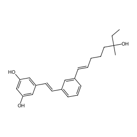 CCC(C)(O)CCCC=Cc1cccc(C=Cc2cc(O)cc(O)c2)c1